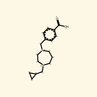 O=C(O)c1ccc(CN2CCCN(CC3CC3)CC2)cc1